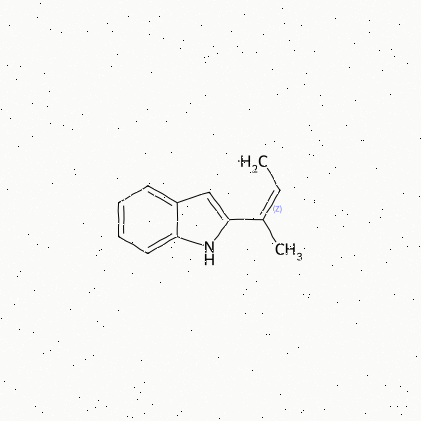 [CH2]/C=C(/C)c1cc2ccccc2[nH]1